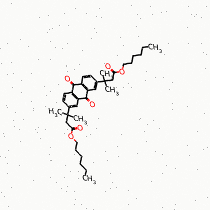 CCCCCCOC(=O)CC(C)(C)c1ccc2c(c1)C(=O)c1cc(C(C)(C)CC(=O)OCCCCCC)ccc1C2=O